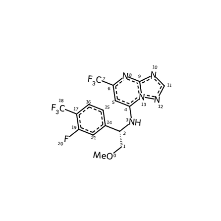 COC[C@@H](Nc1cc(C(F)(F)F)nc2ncnn12)c1ccc(C(F)(F)F)c(F)c1